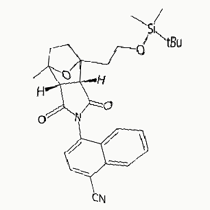 CC12CCC(CCO[Si](C)(C)C(C)(C)C)(O1)[C@@H]1C(=O)N(c3ccc(C#N)c4ccccc34)C(=O)[C@@H]12